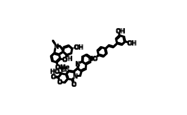 CC[C@@]1(O)C(=O)OCc2c1cc1n(c2=O)Cc2cc3ccccc3nc2-1.COc1ccc2c3c1O[C@H]1C[C@@H](O)C=C[C@@]31CCN(C)C2.Oc1ccc(/C=C/c2cc(O)cc(O)c2)cc1